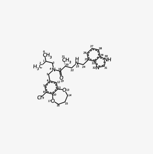 CC(C)CN(Cc1cc(Cl)c2c(c1)OCCCO2)C(=O)[C@H](C)CNCc1cccc2[nH]cnc12